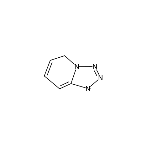 C1=CCN2N=N[N]C2=C1